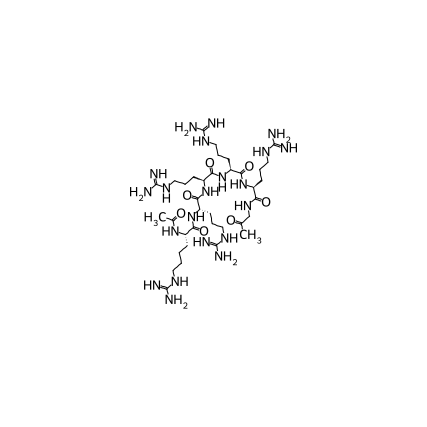 CC(=O)CNC(=O)[C@H](CCCNC(=N)N)NC(=O)[C@H](CCCNC(=N)N)NC(=O)[C@H](CCCNC(=N)N)NC(=O)[C@H](CCCNC(=N)N)NC(=O)[C@H](CCCCNC(=N)N)NC(C)=O